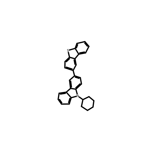 c1ccc2c(c1)sc1ccc(-c3ccc4c(c3)c3ccccc3n4C3CCCCC3)cc12